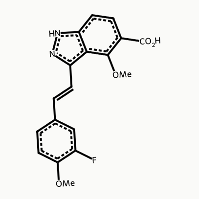 COc1ccc(C=Cc2n[nH]c3ccc(C(=O)O)c(OC)c23)cc1F